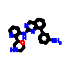 Nc1cccc(-c2cccc3cnc(Nc4cccnc4C4CNCCO4)nc23)c1